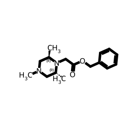 C[C@@H]1CN(C)C[C@@H](C)N1CC(=O)OCc1ccccc1